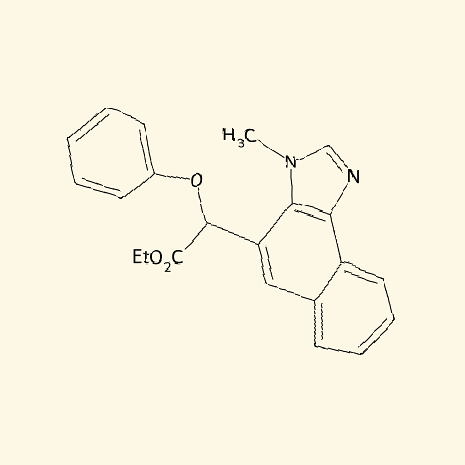 CCOC(=O)C(Oc1ccccc1)c1cc2ccccc2c2ncn(C)c12